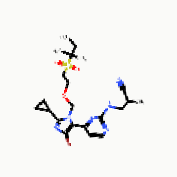 CCC(C)(C)S(=O)(=O)CCOCn1c(C2CC2)nc(Br)c1-c1ccnc(NCC(C)C#N)n1